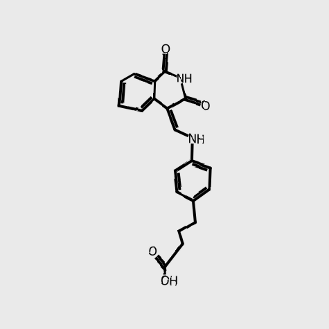 O=C(O)CCCc1ccc(N/C=C2\C(=O)NC(=O)c3ccccc32)cc1